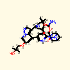 CC(C[C@@H](OC(N)=O)C(=O)N1C2CC1CN(c1ccc(-c3cc(OCC(C)(C)O)cn4ncc(C#N)c34)cn1)C2)CC(C)(C)C